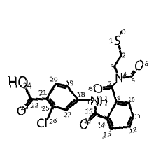 CSCCN(C=O)C(=O)c1ccccc1C(=O)Nc1ccc(C(=O)O)c(Cl)c1